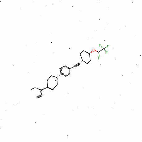 C=CC(CC)[C@H]1CC[C@H](c2ccc(C#C[C@H]3CC[C@H](OC(F)C(F)(F)F)CC3)cc2)CC1